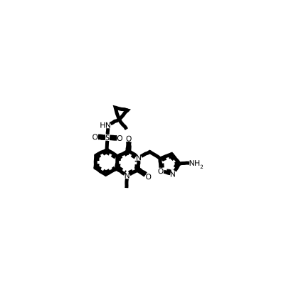 Cn1c(=O)n(Cc2cc(N)no2)c(=O)c2c(S(=O)(=O)NC3(C)CC3)cccc21